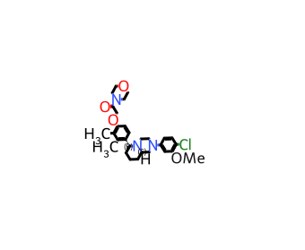 COc1cc(N2CCN3[C@@H](CCC[C@@H]3c3ccc(OCC(=O)N4CCOCC4)c(C)c3C)C2)ccc1Cl